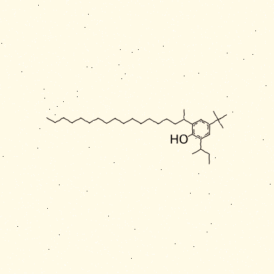 CCCCCCCCCCCCCCCCC(C)c1cc(C(C)(C)C)cc(C(C)CC)c1O